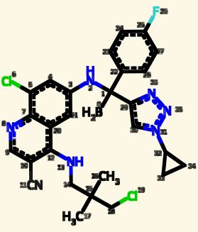 BC(Nc1cc(Cl)c2ncc(C#N)c(NCC(C)(C)CCl)c2c1)(c1ccc(F)cc1)c1cn(C2CC2)nn1